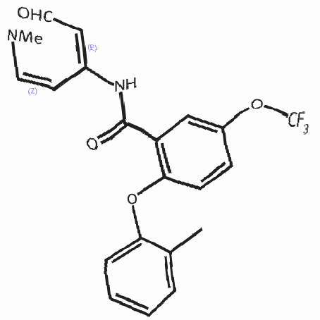 CN/C=C\C(=C/C=O)NC(=O)c1cc(OC(F)(F)F)ccc1Oc1ccccc1C